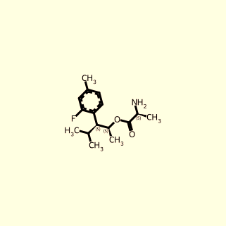 Cc1ccc([C@H](C(C)C)[C@H](C)OC(=O)[C@H](C)N)c(F)c1